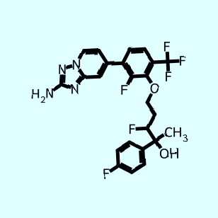 CC(O)(c1ccc(F)cc1)C(F)CCOc1c(C(F)(F)F)ccc(-c2ccn3nc(N)nc3c2)c1F